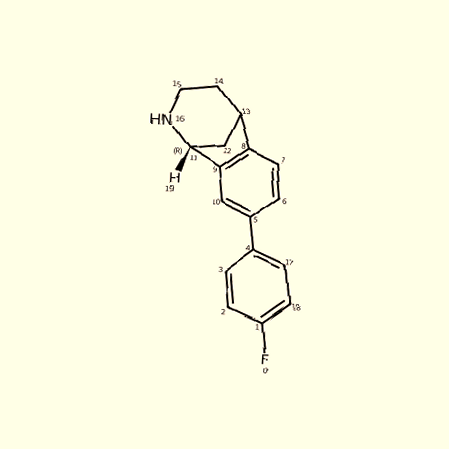 Fc1ccc(-c2ccc3c(c2)[C@H]2CC3CCN2)cc1